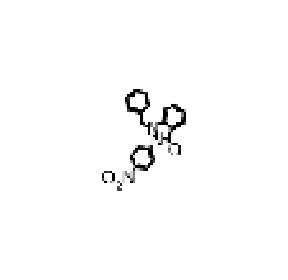 O=c1c2ccccc2n(Cc2ccccc2)n1C1=CC=C([N+](=O)[O-])CC1